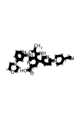 CC(C)C(=N)c1c(-c2ccc(N3CCC(C#N)CC3)nc2)cc(C(=O)O)nc1Nc1cccc(N2CCOCC2)c1